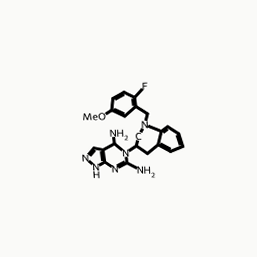 COc1ccc(F)c(CN2CC(N3C(N)=Nc4[nH]ncc4C3N)Cc3ccccc32)c1